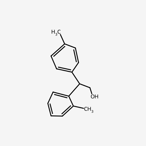 Cc1ccc(C(CO)c2ccccc2C)cc1